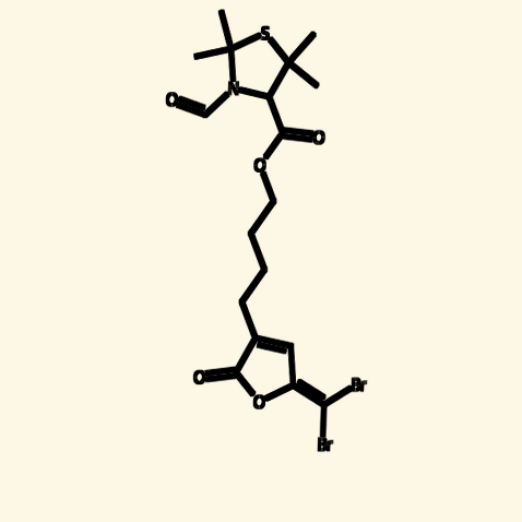 CC1(C)SC(C)(C)N(C=O)C1C(=O)OCCCCC1=CC(=C(Br)Br)OC1=O